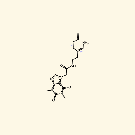 C=C/C=C\C(=C/N)CCNC(=O)Cn1cnc2c1c(=O)n(C)c(=O)n2C